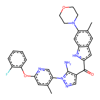 Cc1cc2cc(C(=O)c3cnn(-c4cnc(Oc5ccccc5F)cc4C)c3N)[nH]c2cc1N1CCOCC1